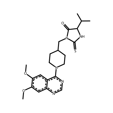 COc1cc2ncnc(N3CCC(CN4C(=O)C(C(C)C)NC4=S)CC3)c2cc1OC